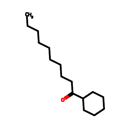 CCCCCCCCCC(=O)C1CCCCC1